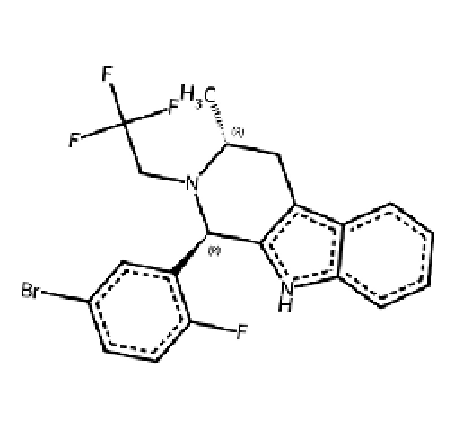 C[C@@H]1Cc2c([nH]c3ccccc23)[C@@H](c2cc(Br)ccc2F)N1CC(F)(F)F